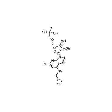 O=P(O)(O)COC[C@H]1O[C@@H](n2nnc3c(NCC4CCC4)cc(Cl)nc32)[C@H](O)[C@@H]1O